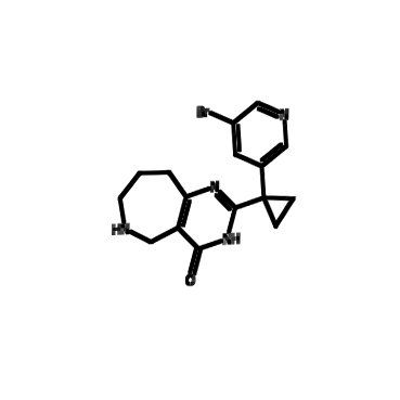 O=c1[nH]c(C2(c3cncc(Br)c3)CC2)nc2c1CNCCC2